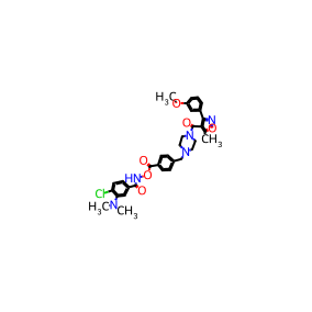 COc1cccc(-c2noc(C)c2C(=O)N2CCN(Cc3ccc(C(=O)ONC(=O)c4ccc(Cl)c(N(C)C)c4)cc3)CC2)c1